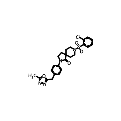 Cc1nnc(Cc2ccc(N3CCC4(CCN(S(=O)(=O)c5ccccc5Cl)CC4)C3=O)cc2)o1